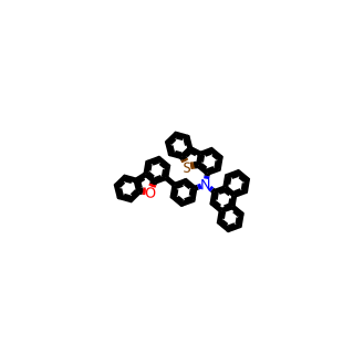 c1cc(-c2cccc3c2oc2ccccc23)cc(N(c2cc3ccccc3c3ccccc23)c2cccc3c2sc2ccccc23)c1